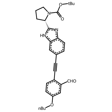 CCCCOc1ccc(C#Cc2ccc3nc([C@@H]4CCCN4C(=O)OC(C)(C)C)[nH]c3c2)c(C=O)c1